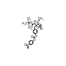 CCOC(=O)C(Cc1ccc(OC(=O)Oc2ccc([N+](=O)[O-])cc2)cc1)(NC(=O)OC(C)(C)C)O[N+](=O)[O-]